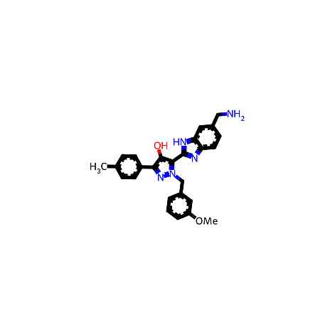 COc1cccc(Cn2nc(-c3ccc(C)cc3)c(O)c2-c2nc3ccc(CN)cc3[nH]2)c1